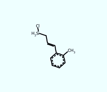 Cc1ccccc1C=CC[SiH2]Cl